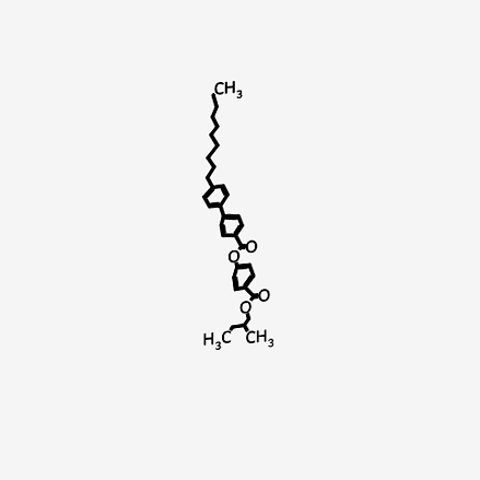 CCCCCCCCCCc1ccc(-c2ccc(C(=O)Oc3ccc(C(=O)OCC(C)CC)cc3)cc2)cc1